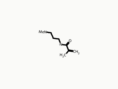 C=C(C)C(=O)[N]CCCNC